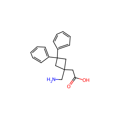 NCC1(CC(=O)O)CC(c2ccccc2)(c2ccccc2)C1